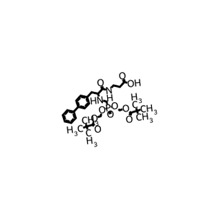 CC(C)(C)C(=O)OCOP(=O)(CNC(Cc1ccc(-c2ccccc2)cc1)C(=O)NCCC(=O)O)OCOC(=O)C(C)(C)C